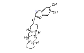 O=C(/C=C\c1ccc(O)c(O)c1)OC1CCN2[C@@H]3C[C@@H](C[C@@H]2C1)N1CCCC[C@@H]1C3